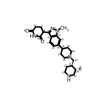 Cn1nc(C2CCC(=O)NC2=O)c2ccc(C3CCN(C[C@@H]4CCNC[C@H]4F)CC3)cc21